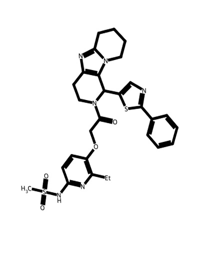 CCc1nc(NS(C)(=O)=O)ccc1OCC(=O)N1CCc2nc3n(c2C1c1cnc(-c2ccccc2)s1)CCCC3